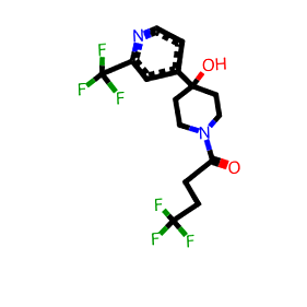 O=C(CCC(F)(F)F)N1CCC(O)(c2ccnc(C(F)(F)F)c2)CC1